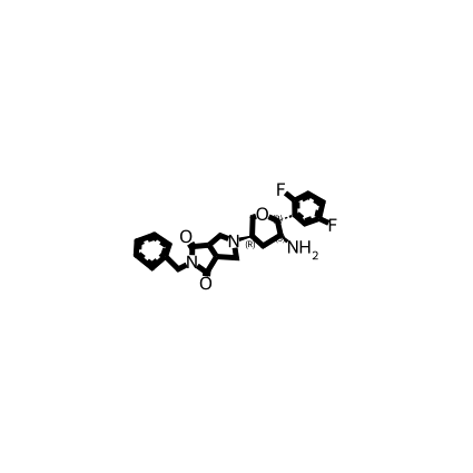 N[C@H]1C[C@@H](N2CC3C(=O)N(Cc4ccccc4)C(=O)C3C2)CO[C@@H]1c1cc(F)ccc1F